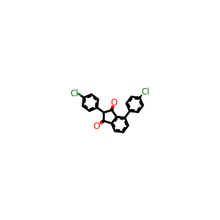 O=C1c2cccc(-c3ccc(Cl)cc3)c2C(=O)C1c1ccc(Cl)cc1